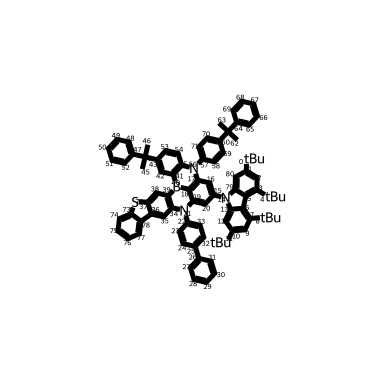 CC(C)(C)c1cc(C(C)(C)C)c2c3c(C(C)(C)C)cc(C(C)(C)C)cc3n(-c3cc4c5c(c3)N(c3ccc(-c6ccccc6)cc3)c3cc6c(cc3B5c3cc(C(C)(C)c5ccccc5)ccc3N4c3ccc(C(C)(C)c4ccccc4)cc3)sc3ccccc36)c2c1